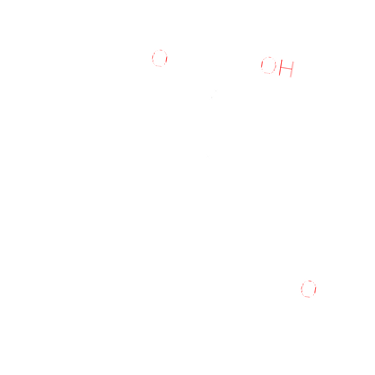 COc1cc2c(c(C(=O)O)c1)CCCC2